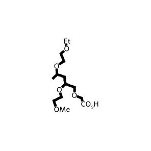 CCOCCOC(C)CC(COCC(=O)O)OCCOC